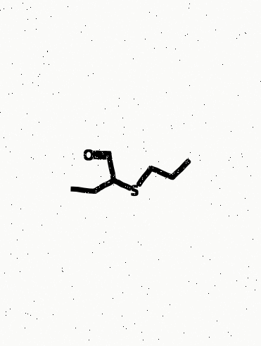 CCCSC(C=O)CC